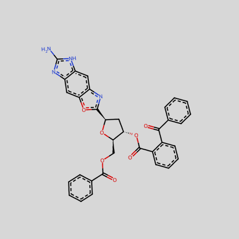 Nc1nc2cc3oc([C@H]4C[C@H](OC(=O)c5ccccc5C(=O)c5ccccc5)[C@@H](COC(=O)c5ccccc5)O4)nc3cc2[nH]1